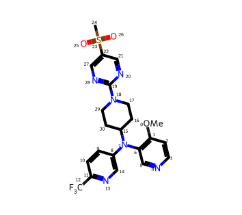 COc1ccncc1N(c1ccc(C(F)(F)F)nc1)C1CCN(c2ncc(S(C)(=O)=O)cn2)CC1